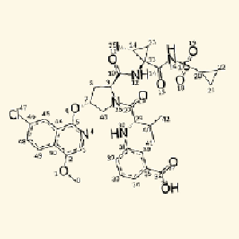 COc1cnc(O[C@@H]2C[C@@H](C(=O)N[C@]3(C(=O)NS(=O)(=O)C4CC4)C[C@H]3I)N(C(=O)[C@@H](Nc3cccc(C(=O)O)c3)C(C)C)C2)c2cc(Cl)ccc12